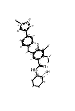 COc1c(C(=O)N[C@@H]2CCCC[C@H]2O)cc(Cc2ccc(-c3cn(C)nn3)cc2)c(C)c1C